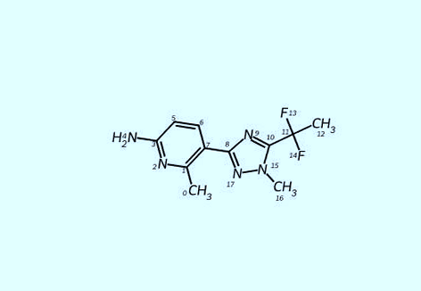 Cc1nc(N)ccc1-c1nc(C(C)(F)F)n(C)n1